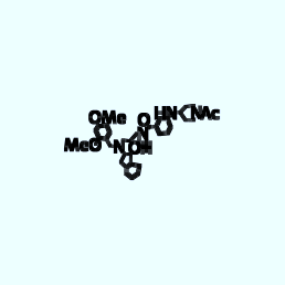 COc1ccc(CN(C[C@H](O)CNC(=O)c2cccc(NC3CCN(C(C)=O)CC3)c2)C2Cc3ccccc3C2)c(OC)c1